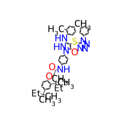 CCC(C)(C)c1ccc(OCC(=O)Nc2ccc(-n3[nH]c(Nc4ccc(C)cc4C)c(Sc4nnnn4-c4ccccc4)c3=O)cc2)c(C(C)(C)CC)c1